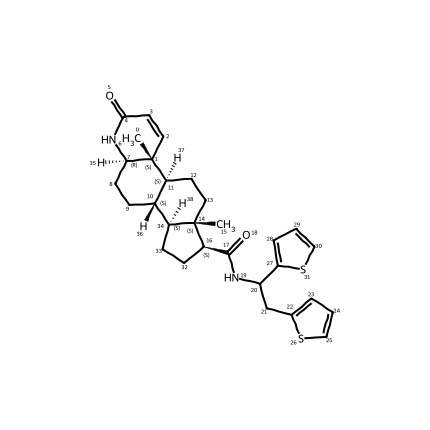 C[C@]12C=CC(=O)N[C@@H]1CC[C@@H]1[C@@H]2CC[C@]2(C)[C@@H](C(=O)NC(Cc3cccs3)c3cccs3)CC[C@@H]12